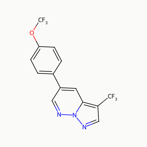 FC(F)(F)Oc1ccc(-c2cnn3ncc(C(F)(F)F)c3c2)cc1